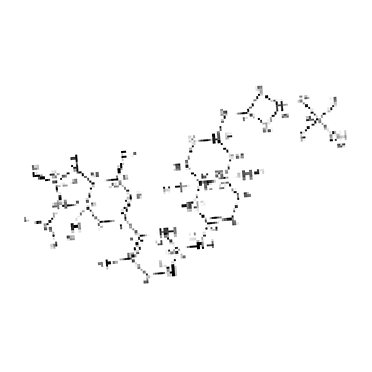 CC(C)N1[C@@H]2CC(C3=C(F)CN[C@H](NC4=CC[C@@H]5CN(CC6CN(CC(C)(C)O)C6)CC[C@@H]5N4)N3)=C[C@H](F)C2N[C@@H]1C